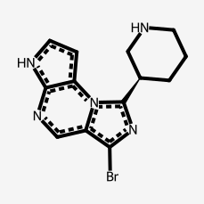 Brc1nc([C@@H]2CCCNC2)n2c1cnc1[nH]ccc12